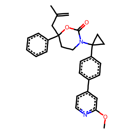 C=C(C)CC1(c2ccccc2)CCN(C2(c3ccc(-c4ccnc(OC)c4)cc3)CC2)C(=O)O1